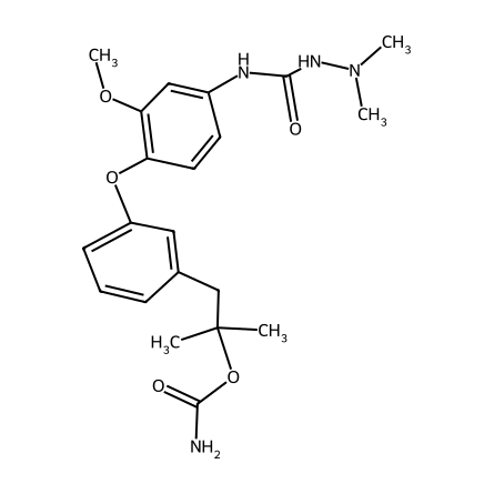 COc1cc(NC(=O)NN(C)C)ccc1Oc1cccc(CC(C)(C)OC(N)=O)c1